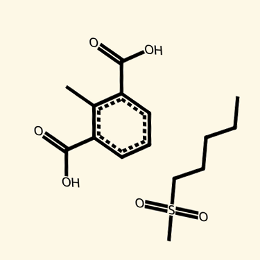 CCCCCS(C)(=O)=O.Cc1c(C(=O)O)cccc1C(=O)O